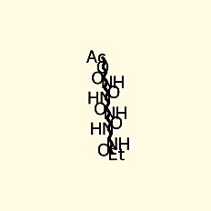 CCC(=O)NCCNC(=O)CNC(=O)CNC(=O)CNC(=O)COCC(C)=O